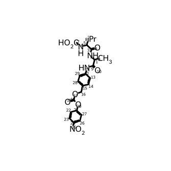 CC(NC(=O)C(NC(=O)O)C(C)C)C(=O)Nc1ccc(COC(=O)Oc2ccc([N+](=O)[O-])cc2)cc1